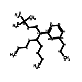 CCCCC(CCCC)N(CCC(C)(C)C)c1nccc(CCC)n1